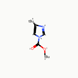 CC(C)(C)OC(=O)n1cnc(C(C)(C)C)c1